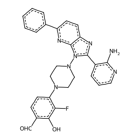 Nc1ncccc1-c1nc2ccc(-c3ccccc3)nc2n1N1CCN(c2ccc(C=O)c(O)c2F)CC1